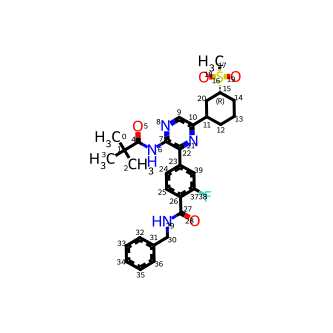 CC(C)(C)C(=O)Nc1ncc(C2CCC[C@@H](S(C)(=O)=O)C2)nc1-c1ccc(C(=O)NCc2ccccc2)c(F)c1